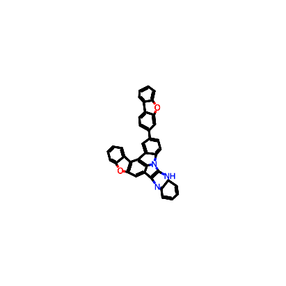 C1=CC2=Nc3c(n4c5ccc(-c6ccc7c(c6)oc6ccccc67)cc5c5c6c(cc3c54)oc3ccccc36)NC2C=C1